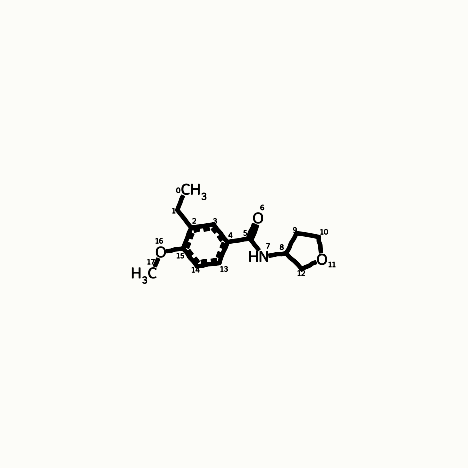 CCc1cc(C(=O)NC2CCOC2)ccc1OC